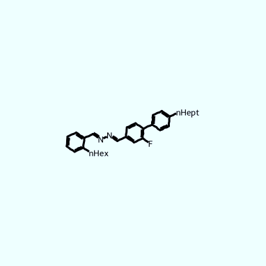 CCCCCCCc1ccc(-c2ccc(C=NN=Cc3ccccc3CCCCCC)cc2F)cc1